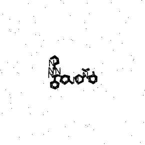 C=C(C)N(c1ccccc1C)C1CCN(Cc2ccc(-c3nc(-c4ccccn4)nnc3-c3ccccc3)cc2)CC1